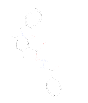 Cc1cc(C)n(Cc2ccccc2)c(=O)c1C(=O)ONNC(=O)c1ccccc1